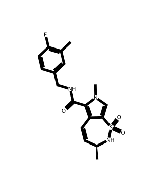 Cc1cc(CNC(=O)c2c3c(cn2C)S(=O)(=O)N[C@@H](C)C=C3)ccc1F